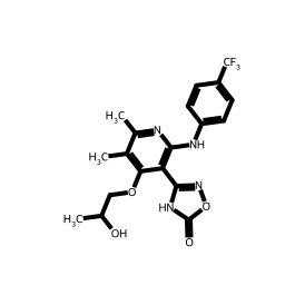 Cc1nc(Nc2ccc(C(F)(F)F)cc2)c(-c2noc(=O)[nH]2)c(OCC(C)O)c1C